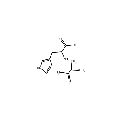 C=C(C)C(N)=O.NC(Cc1c[nH]cn1)C(=O)O